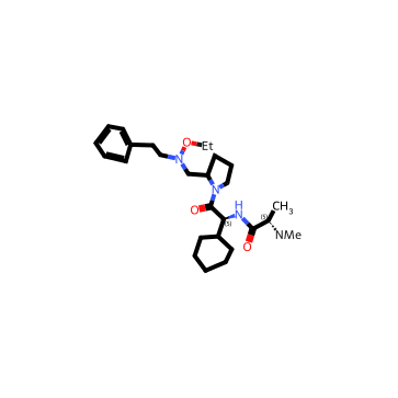 CCON(CCc1ccccc1)CC1CCCN1C(=O)[C@@H](NC(=O)[C@H](C)NC)C1CCCCC1